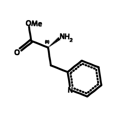 COC(=O)[C@H](N)Cc1ccccn1